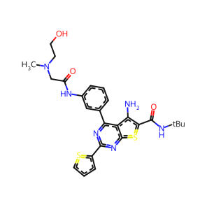 CN(CCO)CC(=O)Nc1cccc(-c2nc(-c3cccs3)nc3sc(C(=O)NC(C)(C)C)c(N)c23)c1